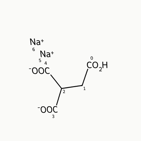 O=C(O)CC(C(=O)[O-])C(=O)[O-].[Na+].[Na+]